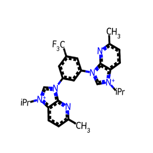 Cc1ccc2c(n1)n(-c1cc(-n3c[n+](C(C)C)c4ccc(C)nc43)cc(C(F)(F)F)c1)c[n+]2C(C)C